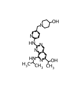 CC(C)Nc1nc(C(C)O)cc2cnc(Nc3ccc(CN4CCC(O)CC4)cn3)nc12